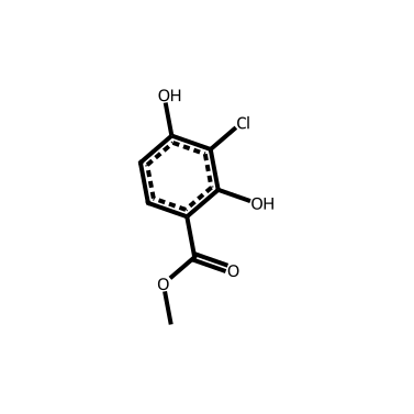 COC(=O)c1ccc(O)c(Cl)c1O